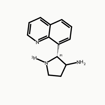 [2H]N1CCC(N)[C@H]1c1cccc2cccnc12